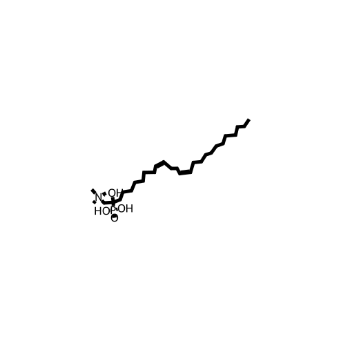 CCCCCCCCCCC/C=C\CC/C=C\CCCCCCCC(O)(C[N+](C)(C)C)P(=O)(O)O